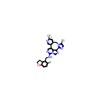 CCc1cnc2n1Cc1cc(C(F)(F)F)ncc1-c1cnc(NCc3c(F)ccc4c3CCO4)n3cnc-2c13